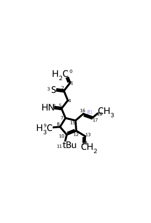 C=CC(=S)CC(=N)C1C(C)C(C(C)(C)C)=C(C=C)C1/C=C/C